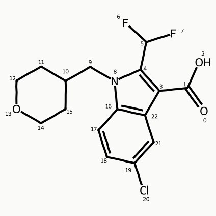 O=C(O)c1c(C(F)F)n(CC2CCOCC2)c2ccc(Cl)cc12